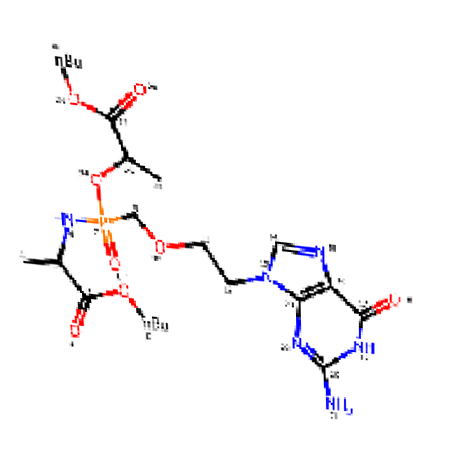 CCCCOC(=O)C(C)NP(=O)(COCCn1cnc2c(=O)[nH]c(N)nc21)OC(C)C(=O)OCCCC